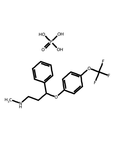 CNCCC(Oc1ccc(OC(F)(F)F)cc1)c1ccccc1.O=P(O)(O)O